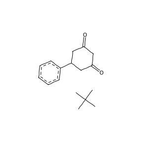 CC(C)(C)C.O=C1CC(=O)CC(c2ccccc2)C1